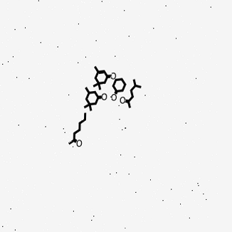 CC(=O)CCC(C)C.CC1=CC(=O)CC(C)(C)C1.CC1CC(=O)CC(C)(C)C1.CCCCCC(C)=O.O=C1CCCCC1